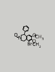 COc1cc2c(c(Br)c1OC)CCN(C=O)CC2c1ccccc1